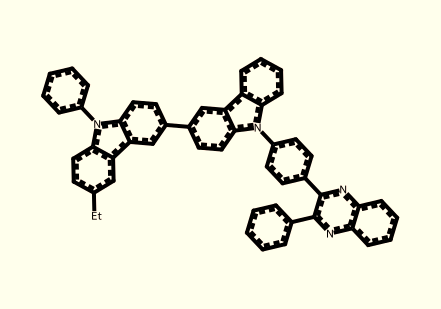 CCc1ccc2c(c1)c1cc(-c3ccc4c(c3)c3ccccc3n4-c3ccc(-c4nc5ccccc5nc4-c4ccccc4)cc3)ccc1n2-c1ccccc1